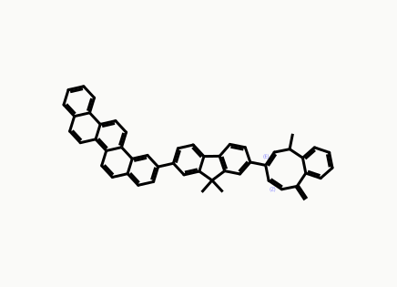 C=C1/C=C\C(c2ccc3c(c2)C(C)(C)c2cc(-c4ccc5ccc6c(ccc7c8ccccc8ccc76)c5c4)ccc2-3)=C/C(C)c2ccccc21